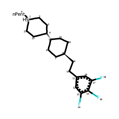 CCCCC[SiH]1CCC([C@H]2CC[C@H](CCc3cc(F)c(F)c(F)c3)CC2)CC1